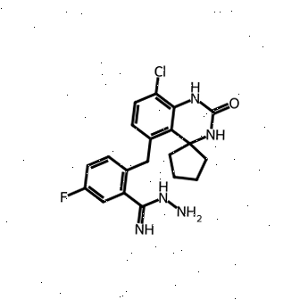 N=C(NN)c1cc(F)ccc1Cc1ccc(Cl)c2c1C1(CCCC1)NC(=O)N2